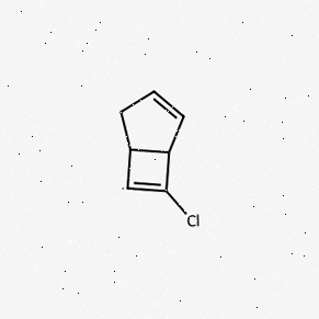 ClC1=[C]C2CC=CC12